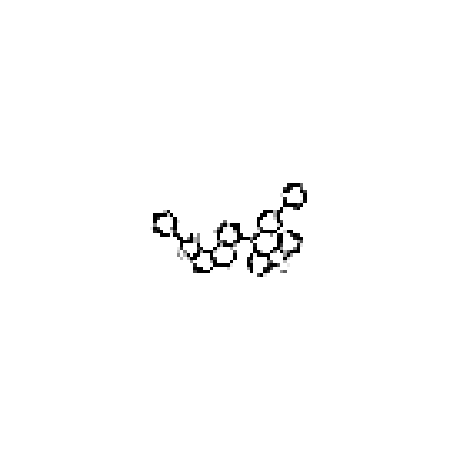 c1ccc(-c2ccc(C(c3cccc4c3CCc3ccc5oc(-c6ccccc6)nc5c3-4)c3cccc4oc5ccccc5c34)cc2)cc1